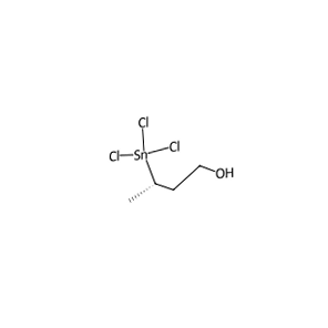 C[C@@H](CCO)[Sn]([Cl])([Cl])[Cl]